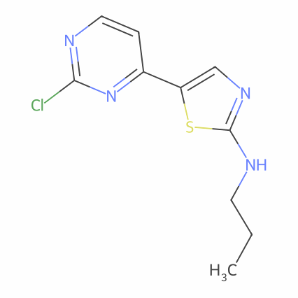 CCCNc1ncc(-c2ccnc(Cl)n2)s1